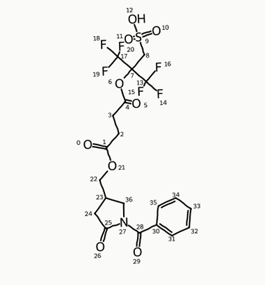 O=C(CCC(=O)OC(CS(=O)(=O)O)(C(F)(F)F)C(F)(F)F)OCC1CC(=O)N(C(=O)c2ccccc2)C1